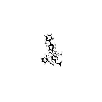 CCN(c1ccccc1)c1c(CC2CC2)nc(O)c(S(=O)(=O)c2ccc(-c3ccncc3C)cc2)c1O